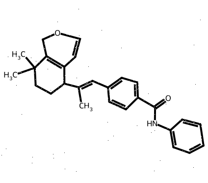 CC(=Cc1ccc(C(=O)Nc2ccccc2)cc1)C1CCC(C)(C)C2=C1C=COC2